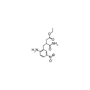 CCOC(=O)CC(Cc1cc([N+](=O)[O-])ccc1N)C(N)=O